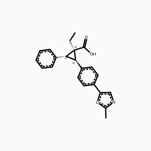 CC[C@@]1(C(=O)O)[C@@H](c2ccccc2)[C@@H]1c1ccc(-c2cnc(C)o2)cc1